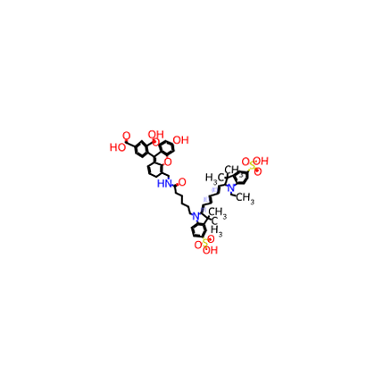 CCN1c2ccc(S(=O)(=O)O)cc2C(C)(C)C1/C=C/C=C/C=C1/N(CCCCCC(=O)NCC2=C3Oc4cc(O)ccc4C(c4ccc(C(=O)O)cc4C(=O)O)=C3C=CC2)c2ccc(S(=O)(=O)O)cc2C1(C)C